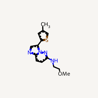 COCCNc1ccc2ncc(-c3cc(C)cs3)n2n1